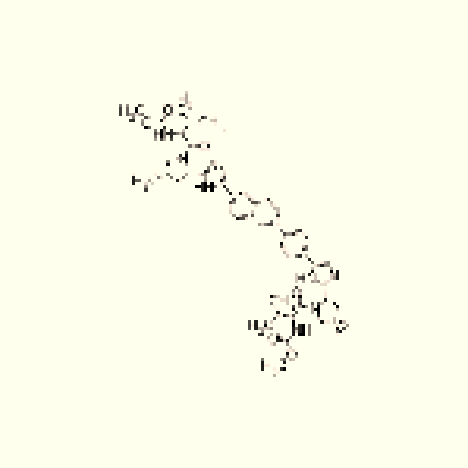 COC(=O)N[C@H](C(=O)N1C[C@@H](C)C[C@H]1c1ncc(-c2ccc3cc(-c4ccc(-c5cnc([C@@H]6CC7(CC7)CN6C(=O)[C@@H](NC(=O)OC)C(C)C)[nH]5)cc4)ccc3c2)[nH]1)C(C)C